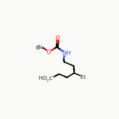 CCC(CCNC(=O)OC(C)(C)C)CCC(=O)O